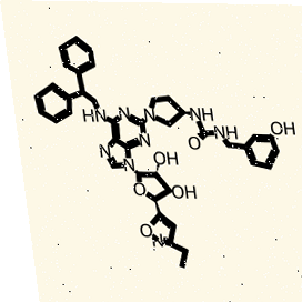 CCc1cc([C@H]2O[C@@H](n3cnc4c(NCC(c5ccccc5)c5ccccc5)nc(N5CC[C@@H](NC(=O)NCc6cccc(O)c6)C5)nc43)[C@H](O)[C@@H]2O)on1